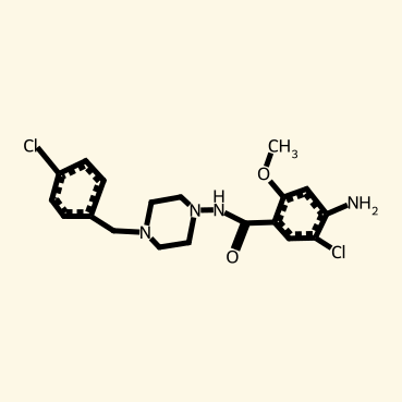 COc1cc(N)c(Cl)cc1C(=O)NN1CCN(Cc2ccc(Cl)cc2)CC1